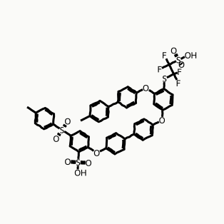 Cc1ccc(-c2ccc(Oc3cc(Oc4ccc(-c5ccc(Oc6ccc(S(=O)(=O)c7ccc(C)cc7)cc6S(=O)(=O)O)cc5)cc4)ccc3SC(F)(F)C(F)(F)S(=O)(=O)O)cc2)cc1